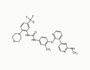 CNc1nccc(-c2cccnc2Oc2ccc(NC(=O)Nc3cc(C(F)(F)F)ccc3N3CCOCC3)cc2C)n1